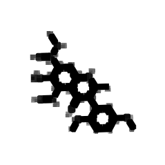 COc1ccc(OC)c(-c2c(C)oc3cc([N+](=O)OC)c(O)c(N=O)c3c2=O)c1